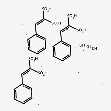 O=S(=O)(O)C(=Cc1ccccc1)S(=O)(=O)O.O=S(=O)(O)C(=Cc1ccccc1)S(=O)(=O)O.O=S(=O)(O)C(=Cc1ccccc1)S(=O)(=O)O.[KH].[KH].[LiH]